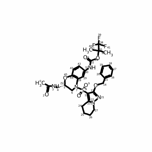 CC(=O)NC[C@H]1CN(S(=O)(=O)c2c(OCc3ccccc3)nn3c2CCCC3)c2cc(NC(=O)OC(C)(C)C(F)(F)F)ccc2O1